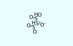 O=[SH](=O)[S+]([O-])[SH](=O)=O